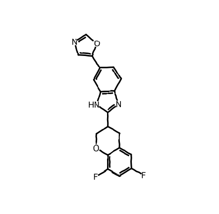 Fc1cc(F)c2c(c1)CC(c1nc3ccc(-c4cnco4)cc3[nH]1)CO2